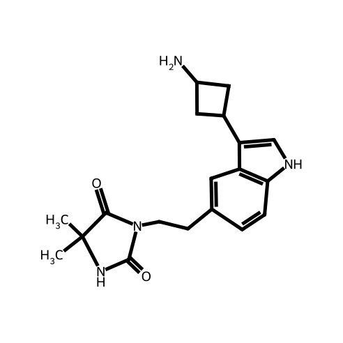 CC1(C)NC(=O)N(CCc2ccc3[nH]cc(C4CC(N)C4)c3c2)C1=O